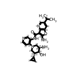 CC(C)c1cnc2c(C(=O)Nc3cnccc3N3C[C@@H](N)[C@H](O)[C@@H](C4CC4)C3)c(N)oc2c1